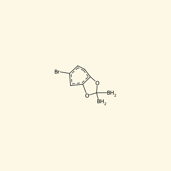 BC1(B)Oc2ccc(Br)cc2O1